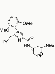 CNC(=O)C[C@H](CC(C)C)NC(=O)c1cc(-c2c(OC)cccc2OC)n(CC(C)C)n1